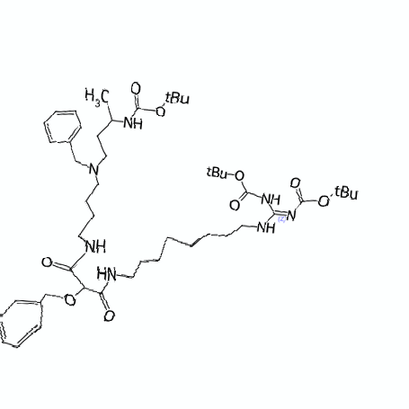 CC(CCN(CCCCNC(=O)C(OCc1ccccc1)C(=O)NCCCCCCCCN/C(=N/C(=O)OC(C)(C)C)NC(=O)OC(C)(C)C)Cc1ccccc1)NC(=O)OC(C)(C)C